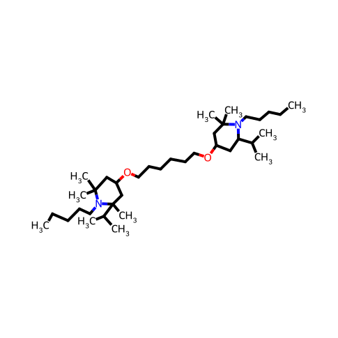 CCCCCN1C(C(C)C)CC(OCCCCCCOC2CC(C)(C)N(CCCCC)C(C)(C(C)C)C2)CC1(C)C